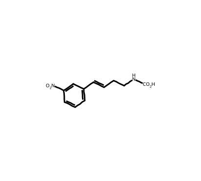 O=C(O)NCCC=Cc1cccc([N+](=O)[O-])c1